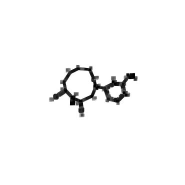 Nc1nccc(N2CCCCCC(=O)NC(=O)C2)n1